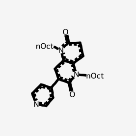 CCCCCCCCn1c(=O)ccc2c1cc(-c1ccncc1)c(=O)n2CCCCCCCC